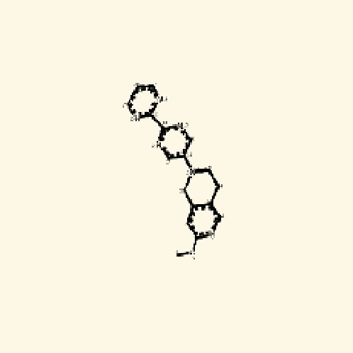 COc1cc2c(cn1)CCN(c1cnc(-c3ncccn3)nc1)C2